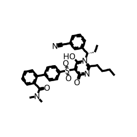 CCCCc1nc(=O)c(S(=O)(=O)c2ccc(-c3ccccc3C(=O)N(C)C)cc2)c(O)n1[C@@H](CC)c1cccc(C#N)c1